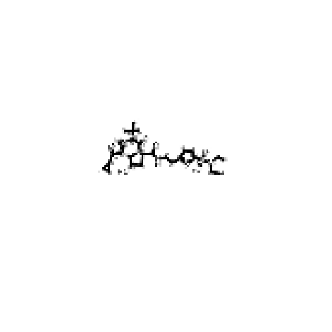 CCN(CC)S(=O)(=O)c1ccc(CCNC(=O)C2CC(O)CN2C(=O)[C@@H](n2cc(C3CC3)nn2)C(C)(C)C)s1